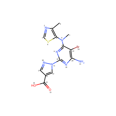 Cc1ncsc1N(C)c1nc(-n2cc(C(=O)O)cn2)nc(N)c1Br